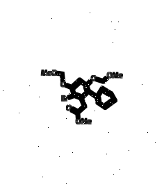 COCOc1cc(OCOC)c(-c2ccccc2)c(CC(=O)OC)c1Br